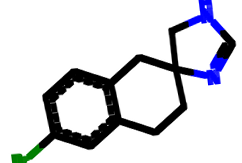 Brc1ccc2c(c1)CCC1(CNC=N1)C2